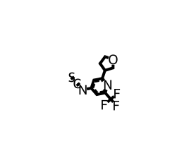 FC(F)(F)c1cc(N=C=S)cc(C2CCOC2)n1